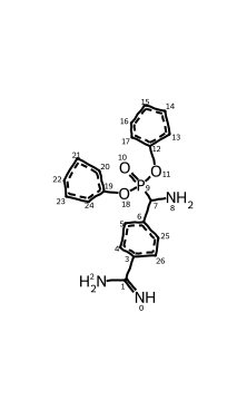 N=C(N)c1ccc(C(N)P(=O)(Oc2ccccc2)Oc2ccccc2)cc1